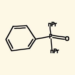 CCCP(=O)(CCC)c1ccccc1